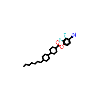 CCCCCCCC1CCC(C2CCC(C(=O)Oc3ccc(C#N)c(F)c3F)CC2)CC1